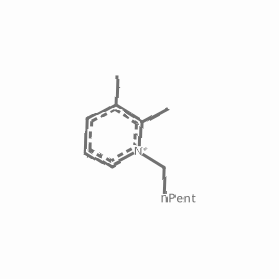 CCCCCC[n+]1cccc(C)c1C